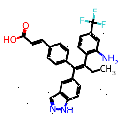 CC/C(=C(/c1ccc(/C=C/C(=O)O)cc1)c1ccc2[nH]ncc2c1)c1ccc(C(F)(F)F)cc1N